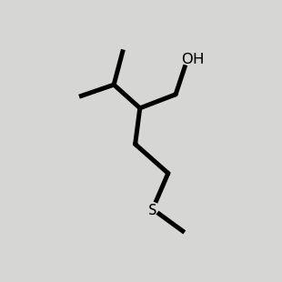 CSCCC(CO)C(C)C